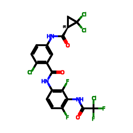 O=C(Nc1ccc(F)c(NC(=O)C(F)(F)Cl)c1F)c1cc(NC(=O)[C@H]2CC2(Cl)Cl)ccc1Cl